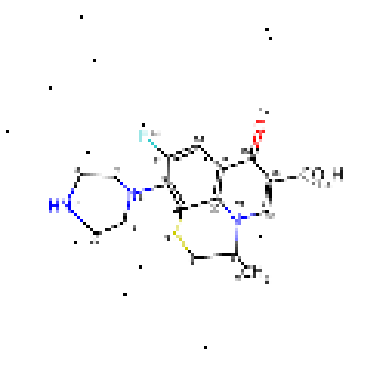 CC1CSc2c(N3CCNCC3)c(F)cc3c(=O)c(C(=O)O)cn1c23